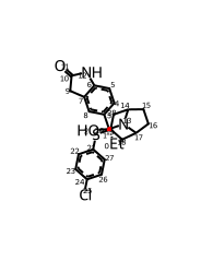 CC[C@](O)(c1ccc2c(c1)CC(=O)N2)N1C2CCC1CC(Sc1ccc(Cl)cc1)C2